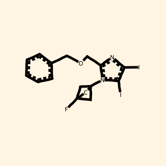 FC12CC(n3c(COCc4ccccc4)nc(I)c3I)(C1)C2